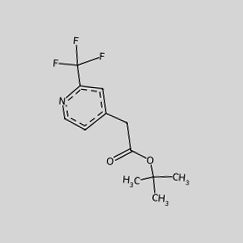 CC(C)(C)OC(=O)Cc1ccnc(C(F)(F)F)c1